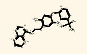 Cc1cc(Oc2cc(C(C)(F)F)ccn2)c(C)cc1CCNc1ncnc2nccnc12